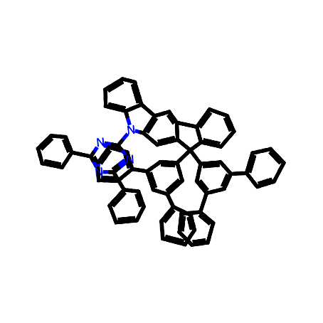 c1ccc(-c2cc(-c3ccccc3)cc(C3(c4cc(-c5ccccc5)cc(-c5ccccc5)c4)c4ccccc4-c4cc5c6ccccc6n(-c6nc(-c7ccccc7)nc(-c7ccccc7)n6)c5cc43)c2)cc1